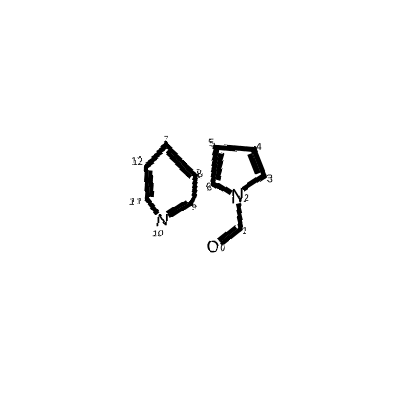 O=Cn1cccc1.c1ccncc1